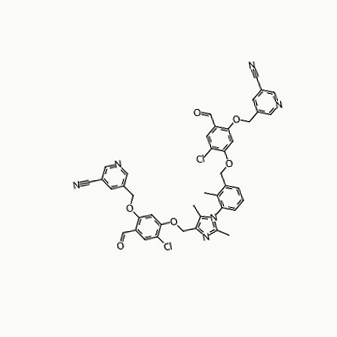 Cc1c(COc2cc(OCc3cncc(C#N)c3)c(C=O)cc2Cl)cccc1-n1c(C)nc(COc2cc(OCc3cncc(C#N)c3)c(C=O)cc2Cl)c1C